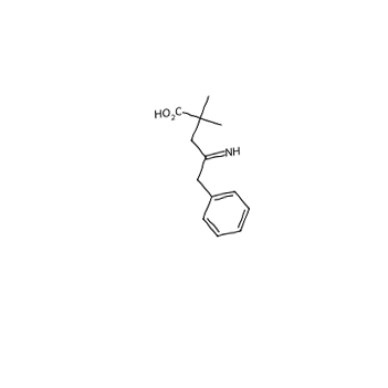 CC(C)(CC(=N)Cc1ccccc1)C(=O)O